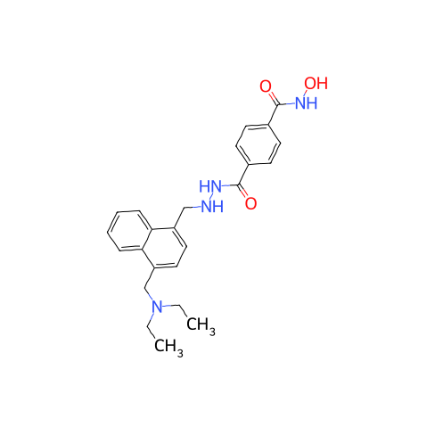 CCN(CC)Cc1ccc(CNNC(=O)c2ccc(C(=O)NO)cc2)c2ccccc12